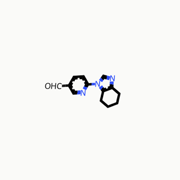 O=Cc1ccc(-n2cnc3c2CCCC3)nc1